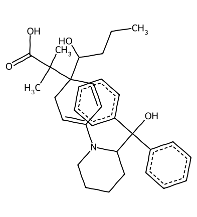 CCCC(O)C1(C(C)(C)C(=O)O)C=CC(N2CCCCC2C(O)(c2ccccc2)c2ccccc2)=CC1